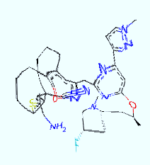 C[C@H](Oc1cc(-c2ccn(C)n2)nc(-c2noc3c2CCC[C@@]32CCCc3sc(N)c(C#N)c32)n1)[C@@H]1C[C@H](F)CN1C